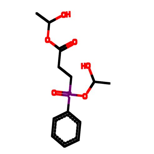 CC(O)OC(=O)CCP(=O)(OC(C)O)c1ccccc1